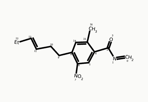 C=NC(=O)c1cc([N+](=O)[O-])c(CCC=CCC)cc1C